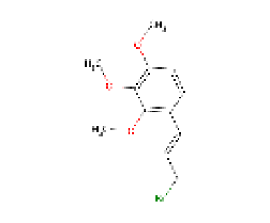 COc1ccc(/C=C/CBr)c(OC)c1OC